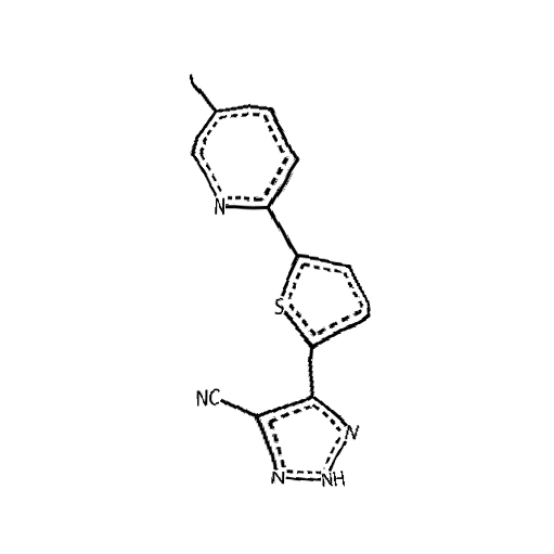 Cc1ccc(-c2ccc(-c3n[nH]nc3C#N)s2)nc1